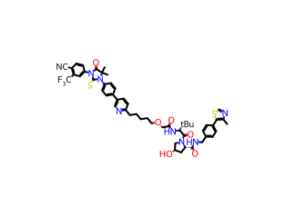 Cc1ncsc1-c1ccc(CNC(=O)[C@@H]2C[C@@H](O)CN2C(=O)[C@@H](NC(=O)COCCCCCc2ccc(-c3ccc(N4C(=S)N(c5ccc(C#N)c(C(F)(F)F)c5)C(=O)C4(C)C)cc3)cn2)C(C)(C)C)cc1